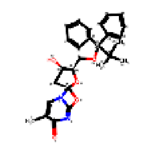 Cc1cn2c(nc1=O)O[C@]21C[C@@H](O)[C@@H](CO[Si](c2ccccc2)(c2ccccc2)C(C)(C)C)O1